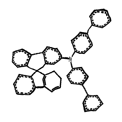 C1=CC2=C(CC1)C1(c3ccccc32)c2ccccc2-c2ccc(N(c3ccc(-c4ccccc4)cc3)c3ccc(-c4ccccc4)cc3)cc21